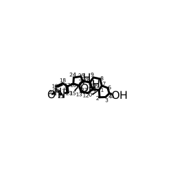 C[C@]12CCC(O)CC1CC[C@@H]1[C@H]2CC[C@]2(C)C(c3cc[n+]([O-])nc3)CC[C@@]12O